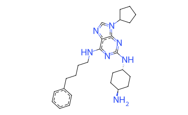 N[C@H]1CC[C@H](Nc2nc(NCCCCc3ccccc3)c3ncn(C4CCCC4)c3n2)CC1